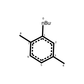 CCC[CH]c1cc(C)ccc1C